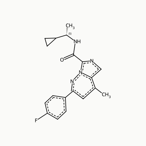 Cc1cc(-c2ccc(F)cc2)nn2c(C(=O)N[C@@H](C)C3CC3)ncc12